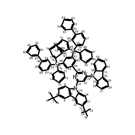 CC(C)(C)c1ccc2c(c1)c1cc(C(C)(C)C)ccc1n2-c1cc(-n2c3ccccc3c3ccccc32)nc(-c2cc([Si](c3ccccc3)(c3ccccc3)c3cccc(-c4ccccc4)c3)cc([Si](c3ccccc3)(c3ccccc3)c3cccc(-c4ccccc4)c3)c2)n1